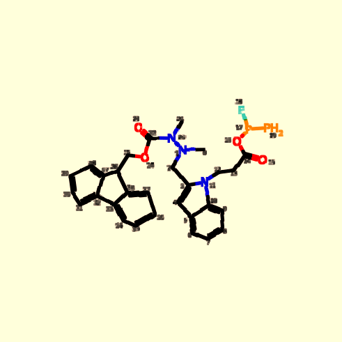 CN(Cc1cc2ccccc2n1CCC(=O)OP(F)P)N(C)C(=O)OCC1c2ccccc2-c2ccccc21